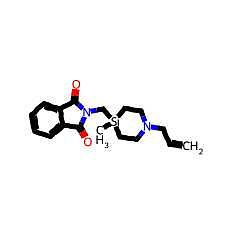 C=CCN1CC[Si](C)(CN2C(=O)c3ccccc3C2=O)CC1